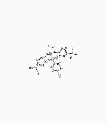 CC[C@H](c1ccc(C(F)(F)F)cc1)N(Cc1ccc(C(=O)O)cc1)S(=O)(=O)c1ccc(Cl)cc1